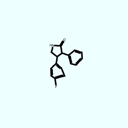 O=C1NCC(c2ccc(F)cc2)C1c1ccccc1